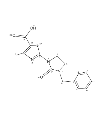 Cc1nc(N2CCN(Cc3ccccc3)C2=O)sc1C(=O)O